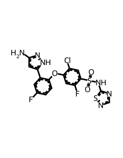 Nc1cc(-c2cc(F)ccc2Oc2cc(F)c(S(=O)(=O)Nc3ncns3)cc2Cl)[nH]n1